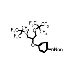 CCCCCCCCCc1ccc(OC(COC(C(F)(F)F)(C(F)(F)F)C(F)(F)F)COC(C(F)(F)F)(C(F)(F)F)C(F)(F)F)cc1